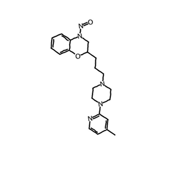 Cc1ccnc(N2CCN(CCCC3CN(N=O)c4ccccc4O3)CC2)c1